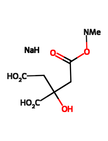 CNOC(=O)CC(O)(CC(=O)O)C(=O)O.[NaH]